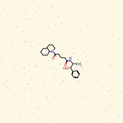 C[C@H](NC(=O)CCCC(=O)N1CCCC2CCCCC21)[C@H](O)c1ccccc1